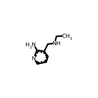 CCNCc1cccnc1N